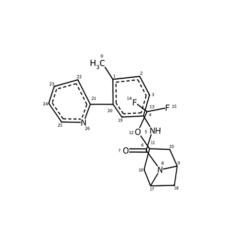 Cc1ccc(NC(=O)N2C3CC(OC(F)F)CC2C3)cc1-c1ccccn1